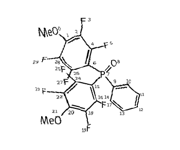 COc1c(F)c(F)c(P(=O)(c2ccccc2)c2c(F)c(F)c(OC)c(F)c2F)c(F)c1F